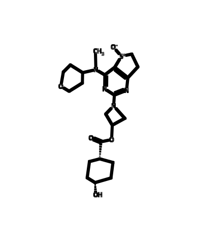 CN(c1nc(N2CC(OC(=O)[C@H]3CC[C@@H](O)CC3)C2)nc2c1[S+]([O-])CC2)C1CCOCC1